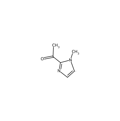 CC(=O)c1nc[c]n1C